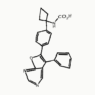 O=C(O)NC1(c2ccc(-c3oc4ncncc4c3-c3ccccc3)cc2)CCC1